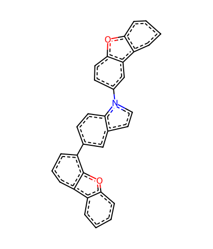 c1ccc2c(c1)oc1ccc(-n3ccc4cc(-c5cccc6c5oc5ccccc56)ccc43)cc12